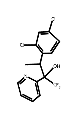 CC(c1ccc(Cl)cc1Cl)C(O)(c1ccccn1)C(F)(F)F